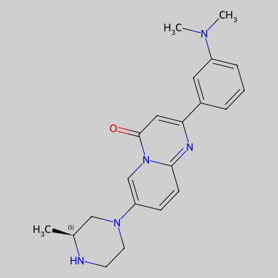 C[C@H]1CN(c2ccc3nc(-c4cccc(N(C)C)c4)cc(=O)n3c2)CCN1